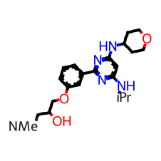 CNCC(O)COc1cccc(-c2nc(NC(C)C)cc(NC3CCOCC3)n2)c1